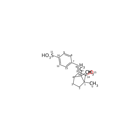 CC12CCC(/C(=C\c3ccc(S(=O)(=O)O)cc3)C1=O)C2(C)C